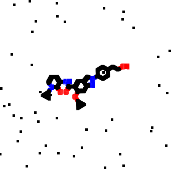 O=C(Nc1cccn(C2CC2)c1=O)c1cc2cn(C3CCC(CCO)CC3)nc2cc1OC1CC1